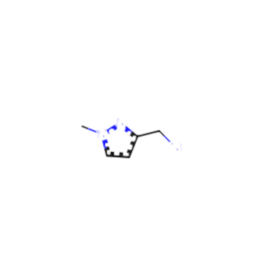 Cn1ccc(CN)n1